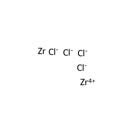 [Cl-].[Cl-].[Cl-].[Cl-].[Zr+4].[Zr]